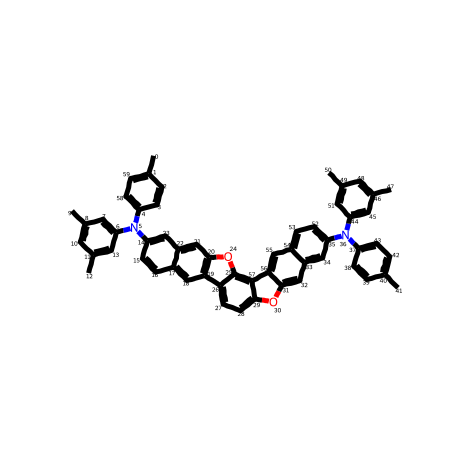 Cc1ccc(N(c2cc(C)cc(C)c2)c2ccc3cc4c(cc3c2)oc2c4ccc3oc4cc5cc(N(c6ccc(C)cc6)c6cc(C)cc(C)c6)ccc5cc4c32)cc1